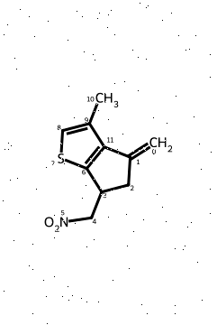 C=C1CC(C[N+](=O)[O-])c2scc(C)c21